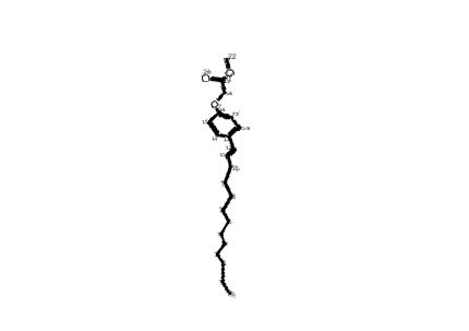 CCCCCCCCCCCC=Cc1ccc(OCC(=O)OC)cc1